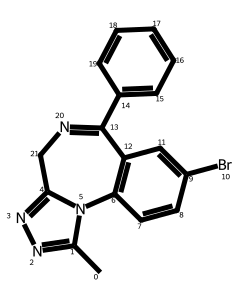 Cc1nnc2n1-c1ccc(Br)cc1C(c1ccccc1)=NC2